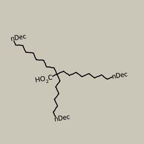 CCCCCCCCCCCCCCCCCCC(CCCCCCCCCCCCCCCC)(CCCCCCCCCCCCCCCCCC)C(=O)O